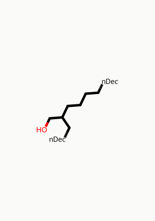 CCCCCCCCCCCCCCC(CO)CCCCCCCCCCC